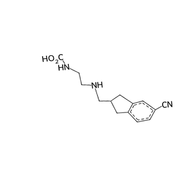 N#Cc1ccc2c(c1)CC(CNCCNC(=O)O)C2